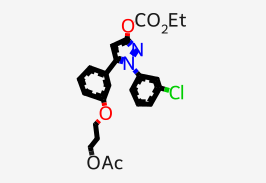 CCOC(=O)Oc1cc(-c2cccc(OCCCOC(C)=O)c2)n(-c2cccc(Cl)c2)n1